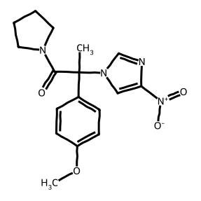 COc1ccc(C(C)(C(=O)N2CCCC2)n2cnc([N+](=O)[O-])c2)cc1